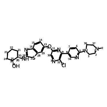 CN1CCN(c2ccc(-c3nc(Oc4ccc5nc(N[C@@H]6CCCC[C@H]6O)sc5c4)cnc3Cl)cn2)CC1